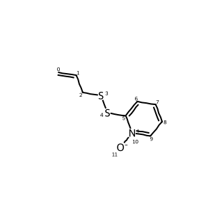 C=CCSSc1cccc[n+]1[O-]